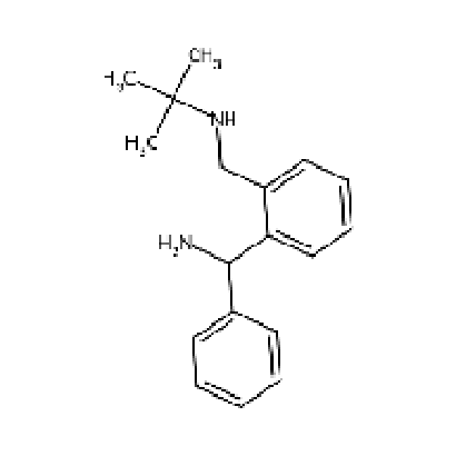 CC(C)(C)NCc1ccccc1C(N)c1ccccc1